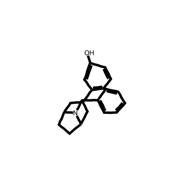 Oc1cccc(C2CC3CCC(C2)N3Cc2ccccc2)c1